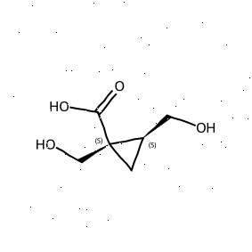 O=C(O)[C@@]1(CO)C[C@@H]1CO